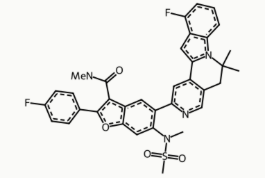 CNC(=O)c1c(-c2ccc(F)cc2)oc2cc(N(C)S(C)(=O)=O)c(-c3cc4c(cn3)CC(C)(C)n3c-4cc4c(F)cccc43)cc12